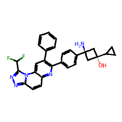 N[C@]1(c2ccc(-c3nc4ccc5nnc(C(F)F)n5c4cc3-c3ccccc3)cc2)C[C@](O)(C2CC2)C1